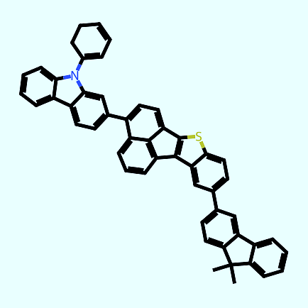 CC1(C)c2ccccc2-c2cc(-c3ccc4sc5c(c4c3)-c3cccc4c(-c6ccc7c8ccccc8n(C8=CC=CCC8)c7c6)ccc-5c34)ccc21